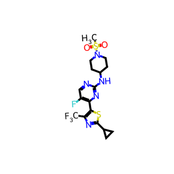 CS(=O)(=O)N1CCC(Nc2ncc(F)c(-c3sc(C4CC4)nc3C(F)(F)F)n2)CC1